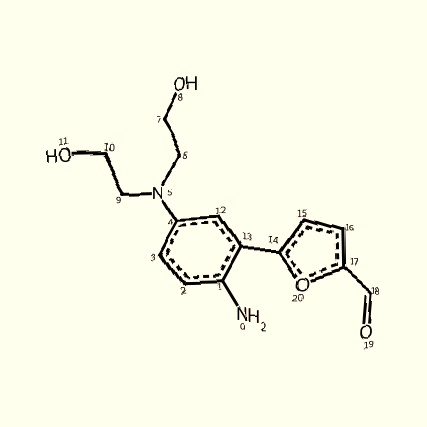 Nc1ccc(N(CCO)CCO)cc1-c1ccc(C=O)o1